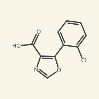 O=C(O)c1ncoc1-c1ccccc1Cl